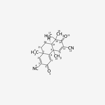 CC12C=C(C#N)C(=O)C=C1C1(C)C=C(C#N)C(=O)C(C)(C)[C@@H]1CC2